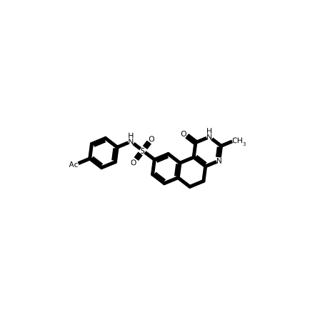 CC(=O)c1ccc(NS(=O)(=O)c2ccc3c(c2)-c2c(nc(C)[nH]c2=O)CC3)cc1